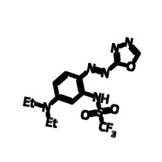 CCN(CC)c1ccc(N=Nc2nnco2)c(NS(=O)(=O)C(F)(F)F)c1